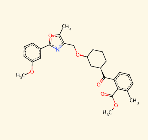 COC(=O)c1c(C)cccc1C(=O)[C@@H]1CCC[C@H](OCc2nc(-c3cccc(OC)c3)oc2C)C1